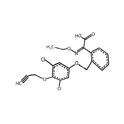 C#CCOc1c(Cl)cc(OCc2ccccc2C(=NOCC)C(=O)O)cc1Cl